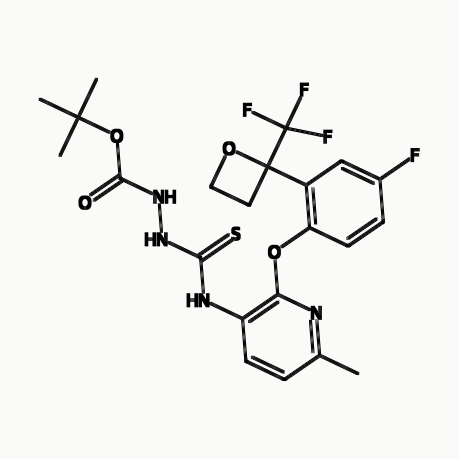 Cc1ccc(NC(=S)NNC(=O)OC(C)(C)C)c(Oc2ccc(F)cc2C2(C(F)(F)F)CCO2)n1